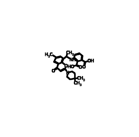 Cc1cc(C(C)Nc2cccc(C(=O)O)c2C(=O)O)c2oc(N3CCC(C)(C)CC3)cc(=O)c2c1